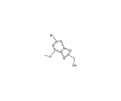 COc1cc(Br)cn2cc(CO)nc12